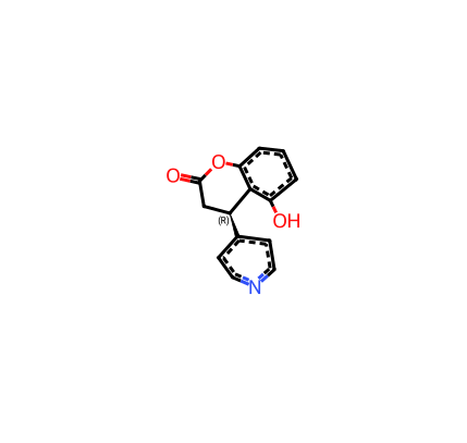 O=C1C[C@H](c2ccncc2)c2c(O)cccc2O1